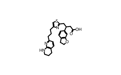 O=C(O)CC(Cc1nc(CCCc2ccc3c(n2)NCCC3)cs1)c1ccc2c(c1)OCC2